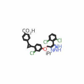 CC(C)N1NNC(c2c(Cl)cccc2Cl)=C1COc1ccc(C2CC2c2ccc(C(=O)O)cc2)c(Cl)c1